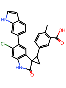 Cc1ccc(C2CC23C(=O)Nc2cc(Cl)c(-c4ccc5cc[nH]c5c4)cc23)cc1C(=O)O